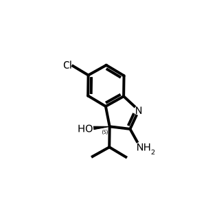 CC(C)[C@@]1(O)C(N)=Nc2ccc(Cl)cc21